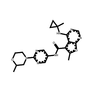 Cc1oc2ncnc(NC3(C)CC3)c2c1C(=O)Nc1cnc(N2CCOC(C)C2)nc1